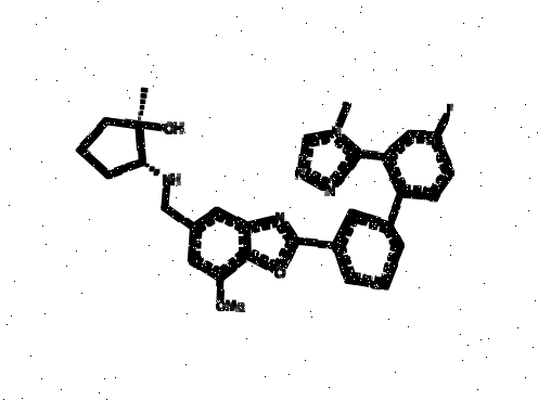 COc1cc(CN[C@@H]2CCC[C@@]2(C)O)cc2nc(-c3cccc(-c4ccc(F)cc4-c4nncn4C)c3)oc12